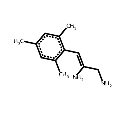 Cc1cc(C)c(C=C(N)CN)c(C)c1